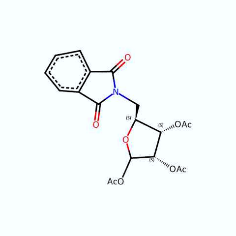 CC(=O)OC1O[C@@H](CN2C(=O)c3ccccc3C2=O)[C@H](OC(C)=O)[C@@H]1OC(C)=O